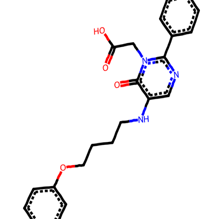 O=C(O)Cn1c(-c2ccccc2)ncc(NCCCCOc2ccccc2)c1=O